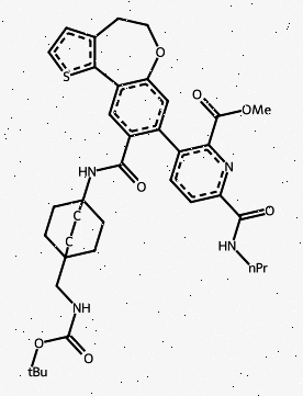 CCCNC(=O)c1ccc(-c2cc3c(cc2C(=O)NC24CCC(CNC(=O)OC(C)(C)C)(CC2)CC4)-c2sccc2CCO3)c(C(=O)OC)n1